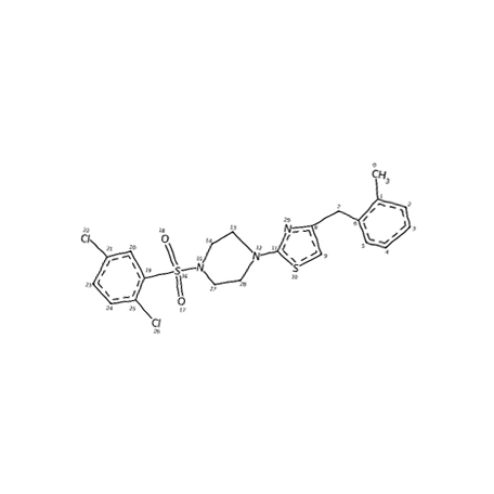 Cc1ccccc1Cc1csc(N2CCN(S(=O)(=O)c3cc(Cl)ccc3Cl)CC2)n1